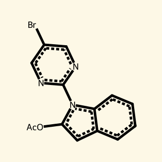 CC(=O)Oc1cc2ccccc2n1-c1ncc(Br)cn1